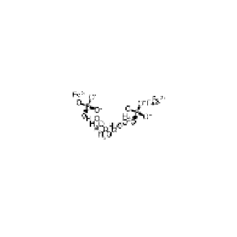 O.O.O.O.O.O.O.O=P([O-])([O-])[O-].O=P([O-])([O-])[O-].[Fe+2].[Fe+2].[Fe+2]